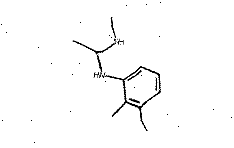 CNC(C)Nc1cccc(C)c1C